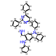 N=Cc1cc2c(cc1Nc1ccccc1)c1ccccc1n2-c1cccc(-c2cc(-c3ccccc3)nc(-c3ccccc3)n2)c1